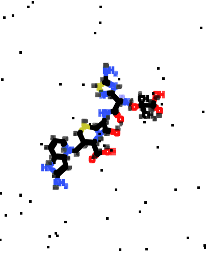 CC(C)(O/N=C(\C(=O)NC1C(=O)N2C(C(=O)O)=C(C[n+]3cccc4[nH]c(N)cc43)CSC12)c1nsc(N)n1)C(=O)O